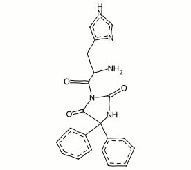 NC(Cc1c[nH]cn1)C(=O)N1C(=O)NC(c2ccccc2)(c2ccccc2)C1=O